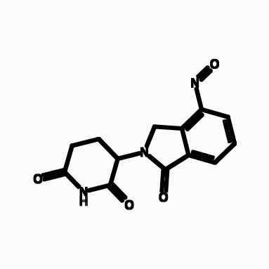 O=Nc1cccc2c1CN(C1CCC(=O)NC1=O)C2=O